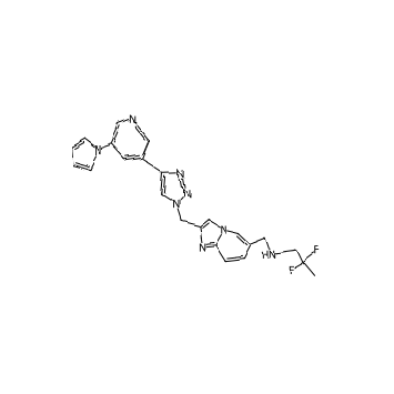 CC(F)(F)CNCc1ccc2nc(Cn3cc(-c4cncc(-n5cccc5)c4)nn3)cn2c1